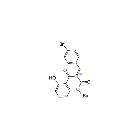 CC(C)(C)OC(=O)/C(=C/c1ccc(Br)cc1)C(=O)c1ccccc1O